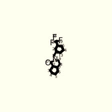 O=C1c2ccccc2CCN1Cc1cccc(C(F)(F)F)c1